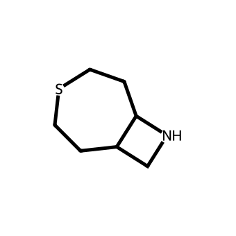 C1CC2CNC2CCS1